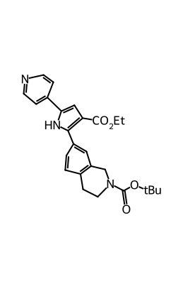 CCOC(=O)c1cc(-c2ccncc2)[nH]c1-c1ccc2c(c1)CN(C(=O)OC(C)(C)C)CC2